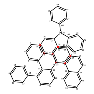 c1ccc(-c2ccccc2-c2c(-c3ccccc3)cccc2N(c2cccc3ccccc23)c2cccc3c2c2ccccc2n3-c2ccccc2)cc1